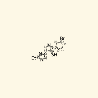 CCn1nnc(-c2cnn(-c3cccc(Br)c3)c2S)n1